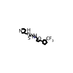 FC(F)(F)c1cccc(-c2ccc(/C=N/NC(=S)NCc3cccnc3)o2)c1